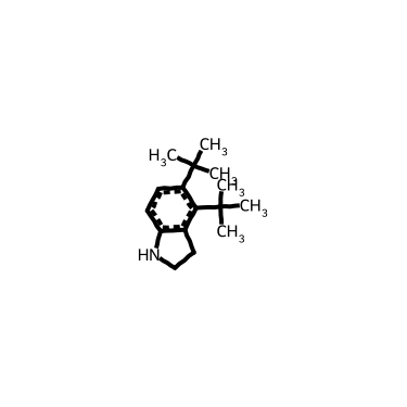 CC(C)(C)c1ccc2c(c1C(C)(C)C)CCN2